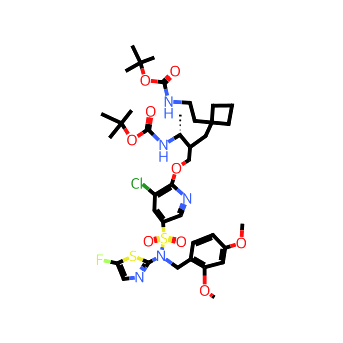 COc1ccc(CN(c2ncc(F)s2)S(=O)(=O)c2cnc(OCC(CC3(CCNC(=O)OC(C)(C)C)CCC3)[C@@H](C)NC(=O)OC(C)(C)C)c(Cl)c2)c(OC)c1